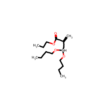 C=C(C[SiH](OCCCC)OCCCC)C(=O)OCCC